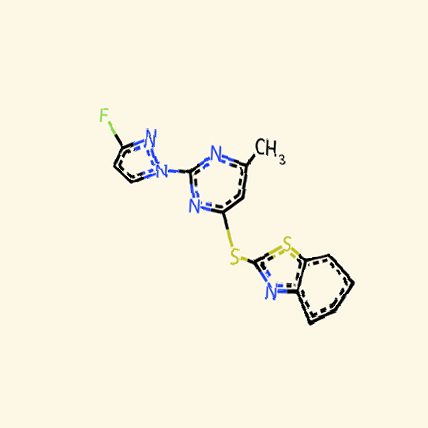 Cc1cc(Sc2nc3ccccc3s2)nc(-n2ccc(F)n2)n1